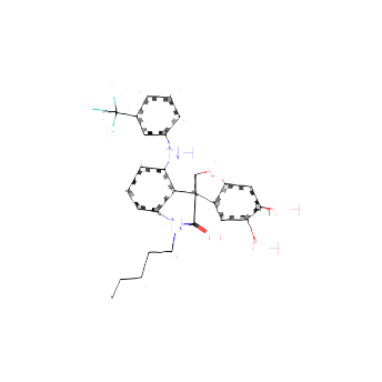 CCCCCN1C(=O)C2(COc3cc(O)c(O)cc32)c2c(Nc3cccc(C(F)(F)F)c3)cccc21